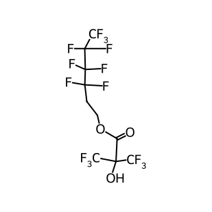 O=C(OCCC(F)(F)C(F)(F)C(F)(F)C(F)(F)F)C(O)(C(F)(F)F)C(F)(F)F